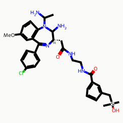 COc1ccc2c(c1)C(c1ccc(Cl)cc1)=N[C@@H](CC(=O)NCCNC(=O)c1cccc(C[Si](C)(C)O)c1)C(N)N2C(C)N